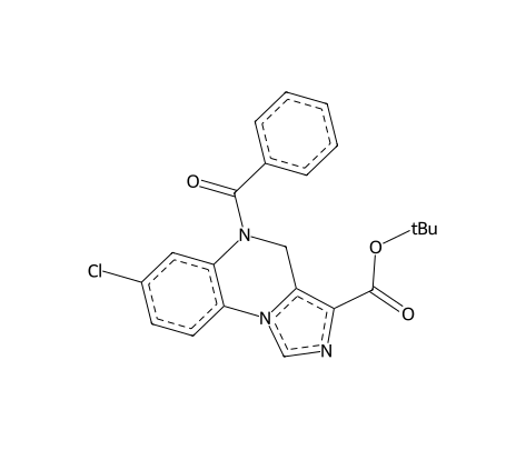 CC(C)(C)OC(=O)c1ncn2c1CN(C(=O)c1ccccc1)c1cc(Cl)ccc1-2